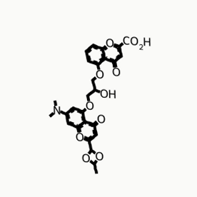 CC1OC(c2cc(=O)c3c(OCC(O)COc4cccc5oc(C(=O)O)cc(=O)c45)cc(N(C)C)cc3o2)O1